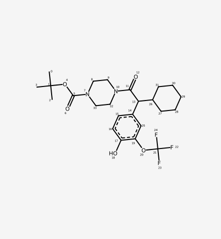 CC(C)(C)OC(=O)N1CCN(C(=O)C(c2ccc(O)c(OC(F)(F)F)c2)C2CCCCC2)CC1